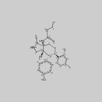 CCOC(=O)N[C@@]12CC[C@@H](c3ccc(C)cc3Cl)[C@H](c3ccc(Cl)cc3)[C@@H]1CNC2=O